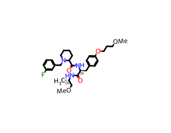 COCCCOc1ccc(C[C@H](NC(=O)C2CCCCN2Cc2cccc(F)c2)C(=O)N[C@@H](C)COC)cc1